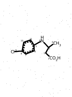 CC(CC(=O)O)Nc1ccc(Cl)cc1